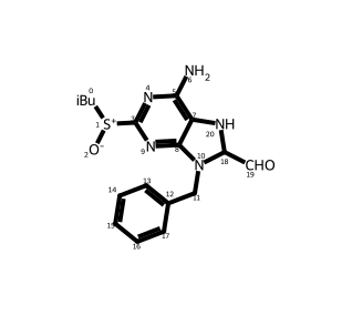 CCC(C)[S+]([O-])c1nc(N)c2c(n1)N(Cc1ccccc1)C(C=O)N2